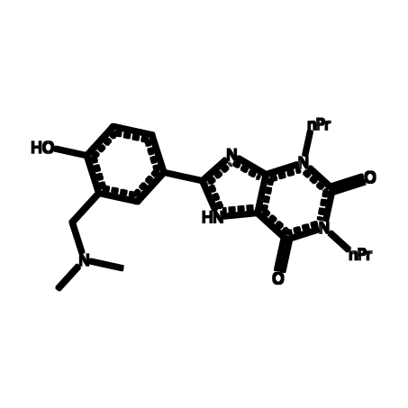 CCCn1c(=O)c2[nH]c(-c3ccc(O)c(CN(C)C)c3)nc2n(CCC)c1=O